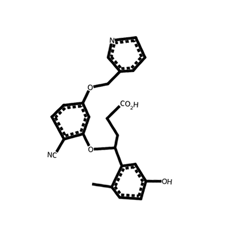 Cc1ccc(O)cc1C(CCC(=O)O)Oc1cc(OCc2cccnc2)ccc1C#N